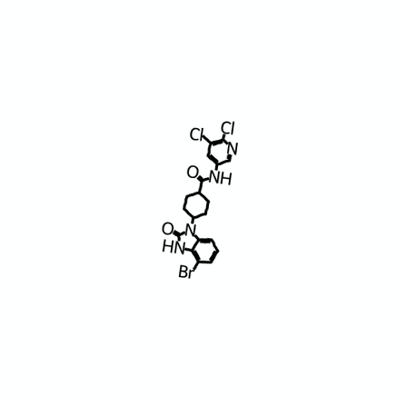 O=C(Nc1cnc(Cl)c(Cl)c1)C1CCC(n2c(=O)[nH]c3c(Br)cccc32)CC1